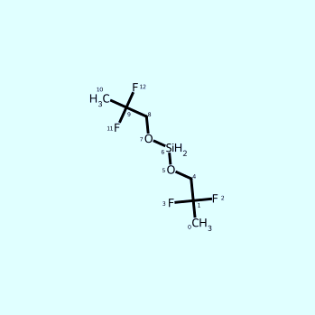 CC(F)(F)CO[SiH2]OCC(C)(F)F